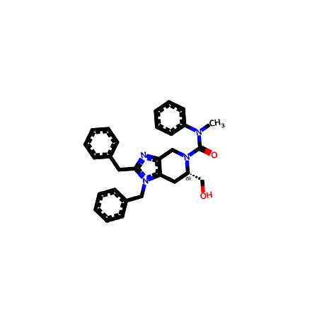 CN(C(=O)N1Cc2nc(Cc3ccccc3)n(Cc3ccccc3)c2C[C@H]1CO)c1ccccc1